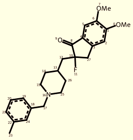 COc1cc2c(cc1OC)C(=O)C(F)(CC1CCN(Cc3cccc(C)c3)CC1)C2